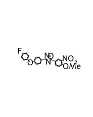 COc1ccc(-c2nc(-c3ccc(Oc4ccc(F)cc4)cc3)no2)cc1[N+](=O)[O-]